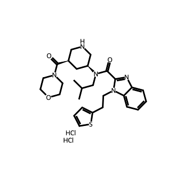 CC(C)CN(C(=O)c1nc2ccccc2n1CCc1cccs1)[C@@H]1CNC[C@H](C(=O)N2CCOCC2)C1.Cl.Cl